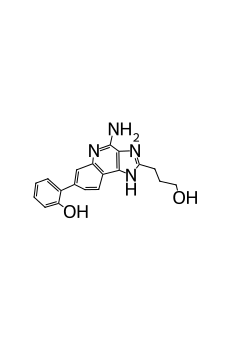 Nc1nc2cc(-c3ccccc3O)ccc2c2[nH]c(CCCO)nc12